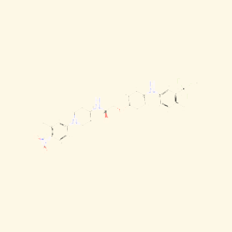 Cc1cc(N2CCC(NC(=O)COC3CCC(Nc4ccc(C)c(C(F)(F)F)c4)CC3)CC2)ccc1[N+](=O)[O-]